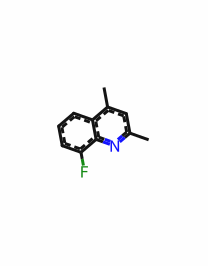 Cc1cc(C)c2cccc(F)c2n1